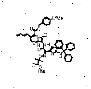 C=C/C=C/C1=C(C(=O)OCc2ccc(OC)cc2)N2C(=O)[C@@H](NC(=O)/C(=N\OC(C)(C)C(=O)OC(C)(C)C)c3csc(NC(c4ccccc4)(c4ccccc4)c4ccccc4)n3)[C@H]2SC1